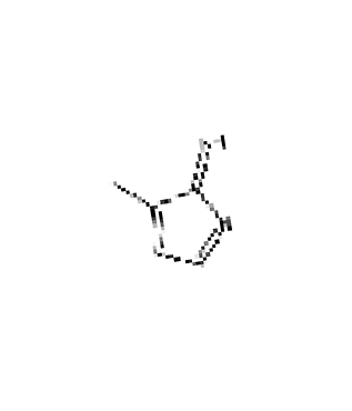 CC1=CC=NC1=N